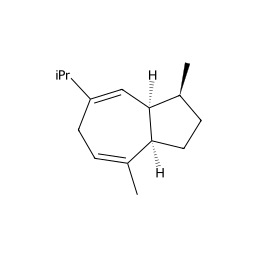 CC1=CCC(C(C)C)=C[C@H]2[C@@H](C)CC[C@@H]12